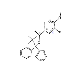 COC(=O)/C(F)=C\[C@@H](C)[C@H](C)O[Si](c1ccccc1)(c1ccccc1)C(C)(C)C